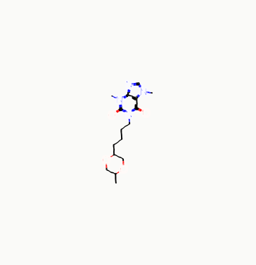 CC1COC(CCCCn2c(=O)c3c(ncn3C)n(C)c2=O)CO1